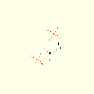 FB(F)F.O=P([O-])(F)F.O=P([O-])(F)F.[Li+].[Li+]